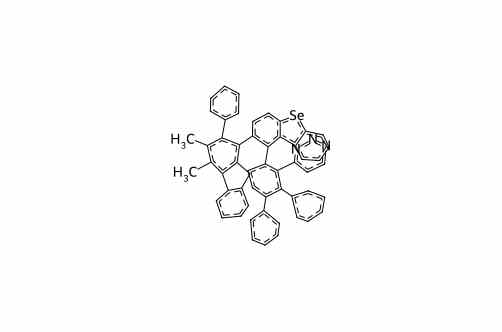 Cc1c(C)c(-c2ccccc2)c(-c2ccc3[se]c4ccccc4c3c2-c2ccc(-c3ccccc3)c(-c3ccccc3)c2-c2ccnnn2)c2c1-c1ccccc1C2